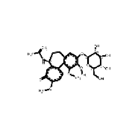 C=C(C)N[C@H]1CCc2cc(O[C@@H]3O[C@H](CO)[C@@H](O)[C@H](O)[C@H]3O)c(OC)c(OC)c2-c2ccc(OC)c(=O)cc21